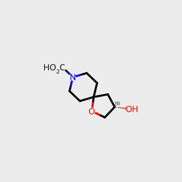 O=C(O)N1CCC2(CC1)C[C@H](O)CO2